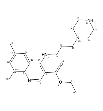 CCOC(=O)c1cnc2c(C)cc(C)cc2c1NCCCN1CCNCC1